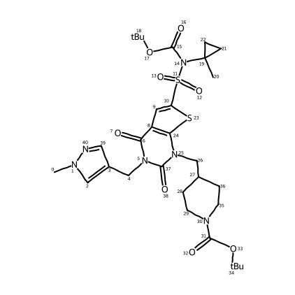 Cn1cc(Cn2c(=O)c3cc(S(=O)(=O)N(C(=O)OC(C)(C)C)C4(C)CC4)sc3n(CC3CCN(C(=O)OC(C)(C)C)CC3)c2=O)cn1